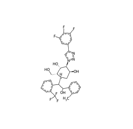 Cc1ccccc1C(O)C(c1ccccc1C(F)(F)F)[SH]1C[C@H](O)[C@H](n2cc(-c3cc(F)c(F)c(F)c3)nn2)[C@@H](O)[C@H]1CO